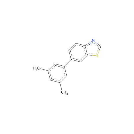 Cc1cc(C)cc(-c2ccc3ncsc3c2)c1